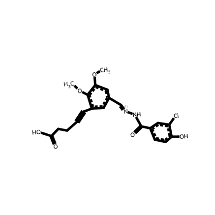 COc1cc(/C=N/NC(=O)c2ccc(O)c(Cl)c2)cc(C#CCCC(=O)O)c1OC